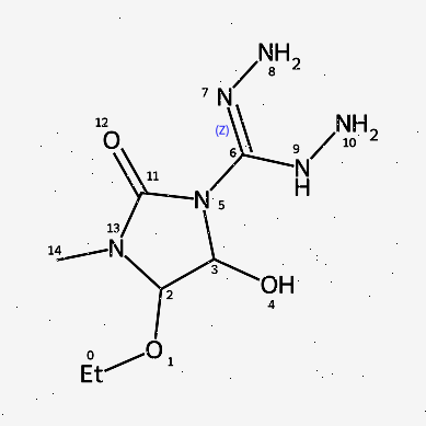 CCOC1C(O)N(/C(=N/N)NN)C(=O)N1C